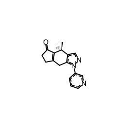 C[C@@H]1C2=C(CCC2=O)Cc2c1cnn2-c1cccnc1